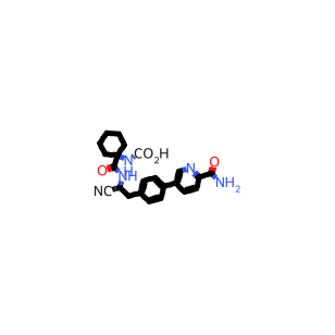 N#CC(Cc1ccc(-c2ccc(C(N)=O)nc2)cc1)NC(=O)C1(NC(=O)O)CCCCC1